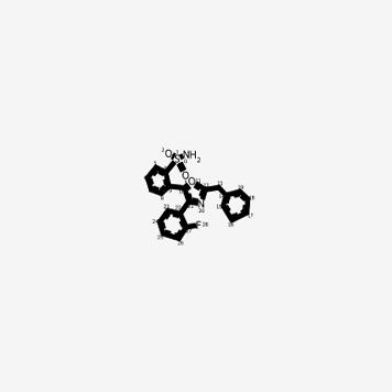 NS(=O)(=O)c1ccccc1-c1oc(Cc2ccccc2)nc1-c1ccccc1F